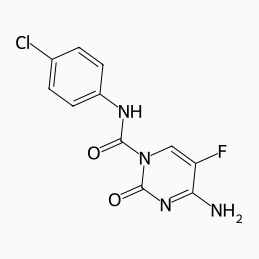 Nc1nc(=O)n(C(=O)Nc2ccc(Cl)cc2)cc1F